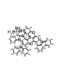 BC(B)(B)c1c2ccccc2n2c3c4c5c(c6c7cccc8c9ccccc9n(c87)c63)Oc3c6c(cc7c3c3cccc8c9ccccc9n7c83)Oc3cccc(c3B65)-n4c12